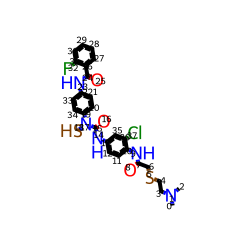 CN(C)CCSCC(=O)Nc1ccc(NC(=O)N(S)c2ccc(NC(=O)c3ccccc3F)cc2)cc1Cl